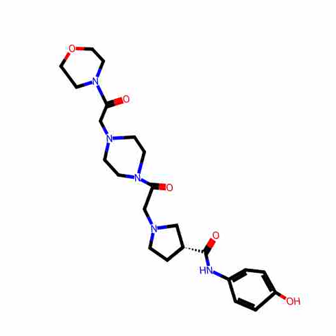 O=C(Nc1ccc(O)cc1)[C@@H]1CCN(CC(=O)N2CCN(CC(=O)N3CCOCC3)CC2)C1